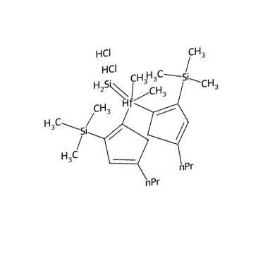 CCCC1=CC([Si](C)(C)C)=[C]([Hf]([CH3])([CH3])(=[SiH2])[C]2=C([Si](C)(C)C)C=C(CCC)C2)C1.Cl.Cl